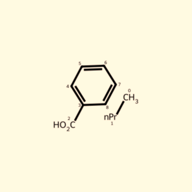 CCCC.O=C(O)c1ccccc1